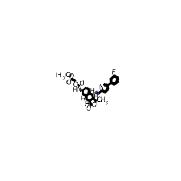 COC(=O)COC(=O)N[C@H]1CC[C@@H]2[C@@H](C1)C[C@H]1C(=O)O[C@H](C)[C@H]1[C@H]2/C=C/c1ccc(-c2cccc(F)c2)cn1